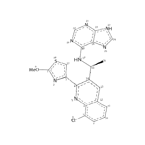 COc1nc(-c2nc3c(Cl)cccc3cc2[C@H](C)Nc2ncnc3[nH]cnc23)cs1